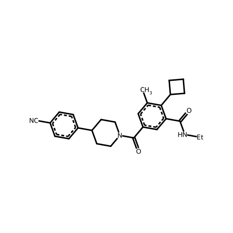 CCNC(=O)c1cc(C(=O)N2CCC(c3ccc(C#N)cc3)CC2)cc(C)c1C1CCC1